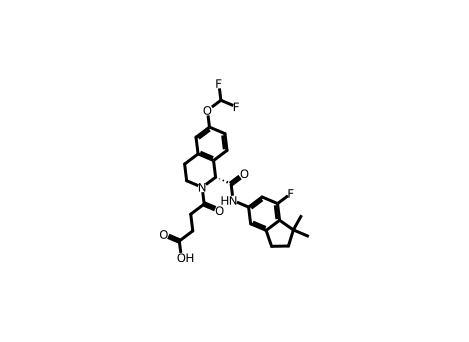 CC1(C)CCc2cc(NC(=O)[C@H]3c4ccc(OC(F)F)cc4CCN3C(=O)CCC(=O)O)cc(F)c21